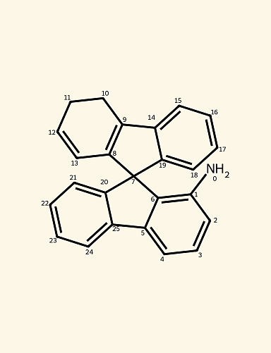 Nc1cccc2c1C1(C3=C(CCC=C3)c3ccccc31)c1ccccc1-2